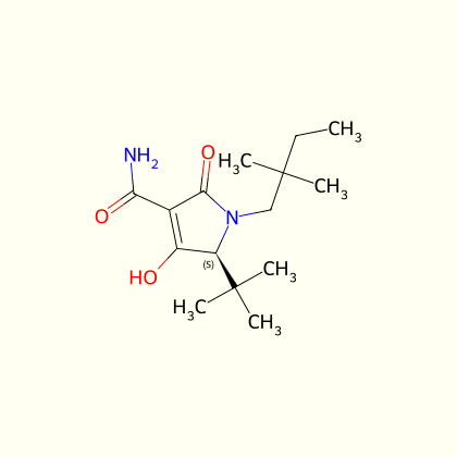 CCC(C)(C)CN1C(=O)C(C(N)=O)=C(O)[C@@H]1C(C)(C)C